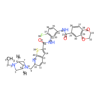 CCN1C[C@H]2C[C@@H]1CN2Cc1ccc2cc(C(=O)Nc3cc(NC(=O)c4ccc5c(c4)OCCO5)ccc3F)sc2n1